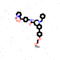 CCCCOCCOc1ccc(-c2ccc3c(c2)C=C(C(=O)Nc2ccc([C@H](O)c4cccc[n+]4[O-])cc2)CCN3Cc2ccccc2)cc1